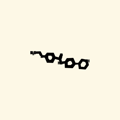 CCSc1ccc(C(=O)Nc2ccc([C@@H]3CCCNC3)cc2)cc1